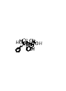 CC(N[C@@H](CCc1ccccc1)C(=O)O)C(=O)N1[C@H](C(=O)O)C[C@H]2CCCC[C@@H]21